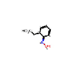 O=C(O)CC1C=CC=CC1=NO